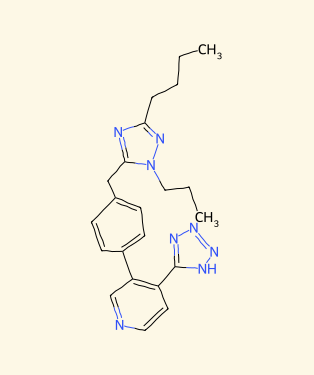 CCCCc1nc(Cc2ccc(-c3cnccc3-c3nnn[nH]3)cc2)n(CCC)n1